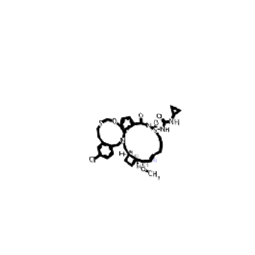 CO[C@H]1/C=C/CCC[S@@](=O)(NC(=O)NC2CC2)=NC(=O)c2ccc3c(c2)N(Cc2ccc(Cl)cc2CCSCO3)C[C@@H]2CC[C@H]21